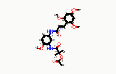 COc1cc(OC)c(/C=C/C(=O)Nc2ccc(OC)c(NC(=O)C(C)(C)OC(C)=O)c2)c(OC)c1